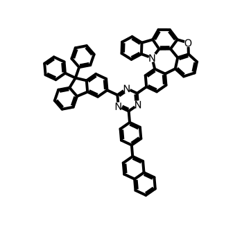 c1ccc(C2(c3ccccc3)c3ccccc3-c3cc(-c4nc(-c5ccc(-c6ccc7ccccc7c6)cc5)nc(-c5ccc6c7cccc8oc9ccc%10c%11ccccc%11n(c6c5)c%10c9c87)n4)ccc32)cc1